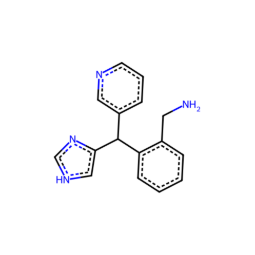 NCc1ccccc1C(c1cccnc1)c1c[nH]cn1